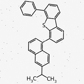 CC(C)c1ccc2c(-c3cccc4c3sc3c(-c5ccccc5)cccc34)cccc2c1